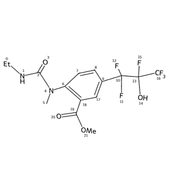 CCNC(=O)N(C)c1ccc(C(F)(F)C(O)(F)C(F)(F)F)cc1C(=O)OC